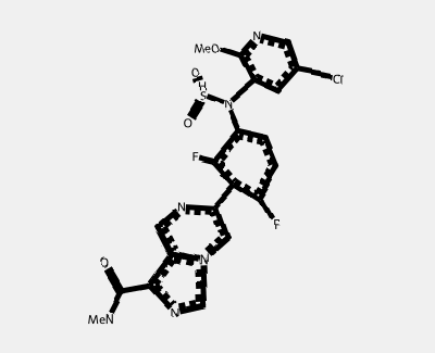 CNC(=O)c1ncn2cc(-c3c(F)ccc(N(c4cc(Cl)cnc4OC)[SH](=O)=O)c3F)ncc12